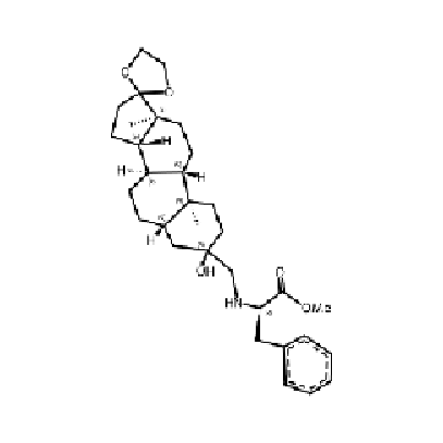 COC(=O)[C@@H](Cc1ccccc1)NC[C@@]1(O)CC[C@@]2(C)[C@@H](CC[C@@H]3[C@@H]2CC[C@@]2(C)[C@H]3CCC23OCCO3)C1